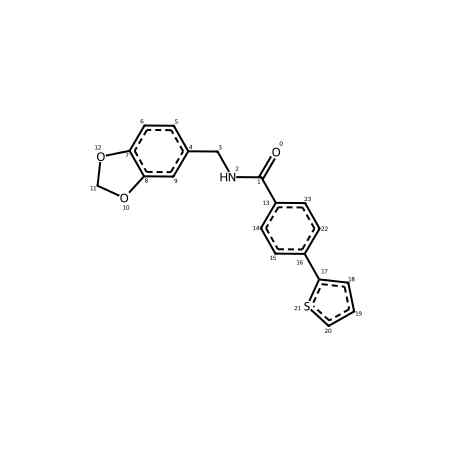 O=C(NCc1ccc2c(c1)OCO2)c1ccc(-c2cccs2)cc1